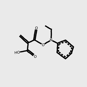 C=C(C(=O)O)C(=O)ON(CC)c1ccccc1